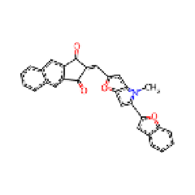 Cn1c(-c2cc3ccccc3o2)cc2oc(C=C3C(=O)c4cc5ccccc5cc4C3=O)cc21